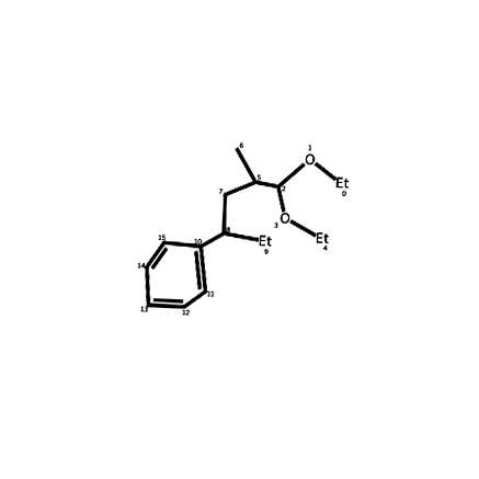 CCOC(OCC)C(C)CC(CC)c1ccccc1